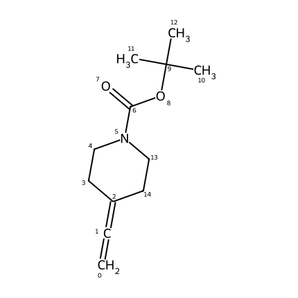 C=C=C1CCN(C(=O)OC(C)(C)C)CC1